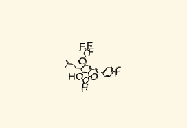 CC(C)=CCc1c(OCCC(F)(F)F)cc(C=Cc2ccc(F)cc2)c(C(=O)O)c1O